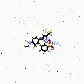 CCN(C)c1ccc(-c2cc(C(F)(F)F)nn2-c2ccccc2S(N)(=O)=O)cc1F